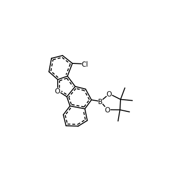 CC1(C)OB(c2cc3c(oc4cccc(Cl)c43)c3ccccc23)OC1(C)C